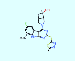 CNc1cc(F)cc2c1[nH]c1nc(Sc3nnc(C)s3)nc(N3CC4C[C@@H](O)C4C3)c12